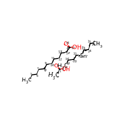 CC(=O)O.CCCCCCCCCCCC(=O)O.CCC[CH2][Sn][CH2]CCC